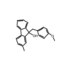 COc1ccc(CC2(O)c3ccccc3-c3ccc(C)cc32)cc1